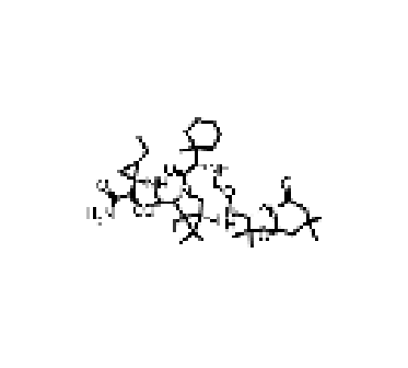 CC[C@@H]1C[C@@]1(NC(=O)[C@@H]1[C@@H]2[C@H](CN1C(=O)[C@@H](NCON[C@H](CN1C(=O)CC(C)(C)CC1=O)C(C)(C)C)C1(C)CCCCC1)C2(C)C)C(=O)C(N)=O